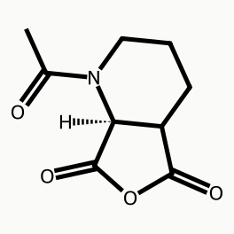 CC(=O)N1CCCC2C(=O)OC(=O)[C@H]21